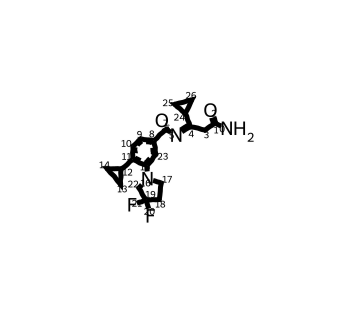 NC(=O)C/C(=N/C(=O)c1ccc(C2CC2)c(N2CCC(F)(F)C2)c1)C1CC1